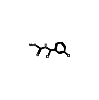 COC(=O)NC(Cl)c1cccc(Cl)c1